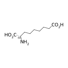 N[C@@H](CCCCCCC(=O)O)C(=O)O